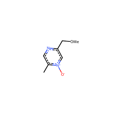 COCc1c[n+]([O-])c(C)cn1